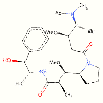 CC[C@@H](C)[C@@H]([C@@H](CC(=O)N1CCC[C@H]1[C@H](OC)[C@@H](C)C(=O)N[C@H](C)[C@@H](O)c1ccccc1)OC)N(C)C(C)=O